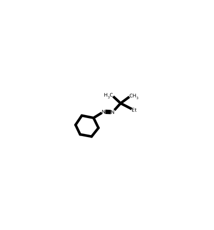 CCC(C)(C)N=NC1CCCCC1